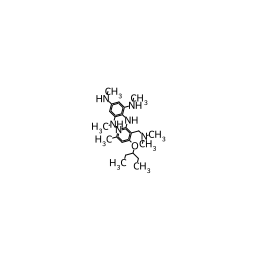 CCC(CC)Oc1cc(C)nc(Nc2c(NC)cc(NC)cc2NC)c1CN(C)C